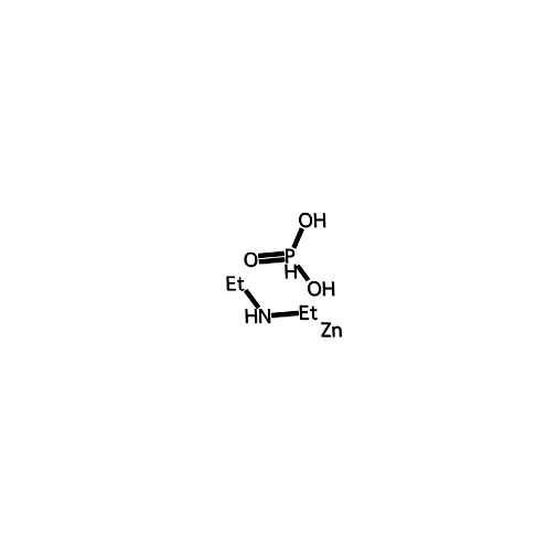 CCNCC.O=[PH](O)O.[Zn]